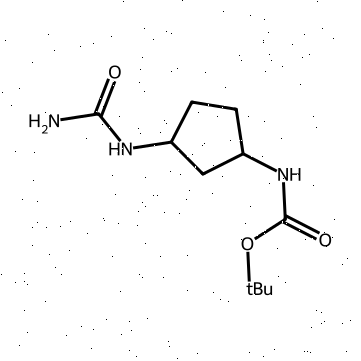 CC(C)(C)OC(=O)NC1CCC(NC(N)=O)C1